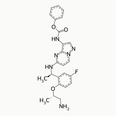 C[C@@H](CN)Oc1ccc(F)cc1[C@@H](C)Nc1ccn2ncc(NC(=O)Oc3ccccc3)c2n1